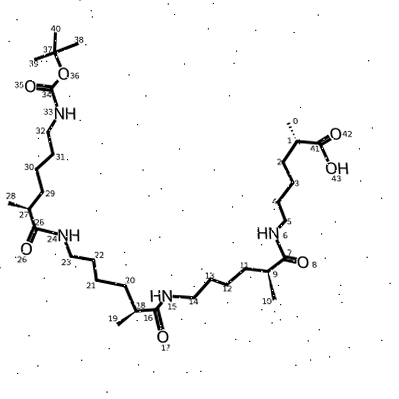 C[C@@H](CCCCNC(=O)[C@@H](C)CCCCNC(=O)[C@@H](C)CCCCNC(=O)[C@@H](C)CCCCNC(=O)OC(C)(C)C)C(=O)O